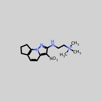 C[N+](C)(C)CCNc1nn2c3c(ccc2c1[N+](=O)[O-])CCC3